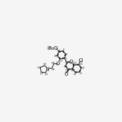 CC(C)COc1ccc(-c2cc(=O)c3cccc(Cl)c3o2)c(OCCN2CCCC2)c1